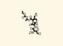 CCOC(=O)OC(C)OC(=O)C1=C(COC)CS[C@@H]2C(NC(=O)/C(=N\OC)C(=O)CCl)C(=O)N12